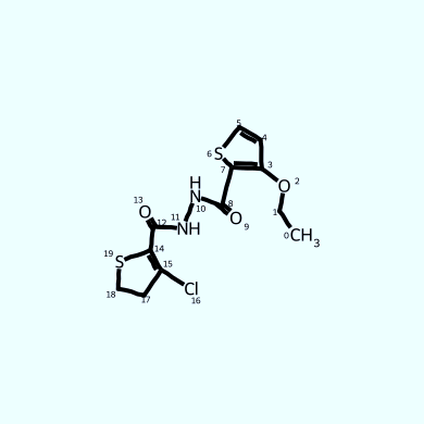 CCOc1ccsc1C(=O)NNC(=O)C1=C(Cl)CCS1